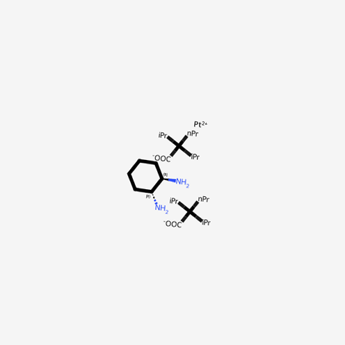 CCCC(C(=O)[O-])(C(C)C)C(C)C.CCCC(C(=O)[O-])(C(C)C)C(C)C.N[C@@H]1CCCC[C@H]1N.[Pt+2]